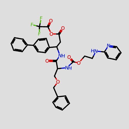 O=C(CC(NC(=O)C(COCc1ccccc1)NC(=O)OCCNc1ccccn1)c1ccc(-c2ccccc2)cc1)OC(=O)C(F)(F)F